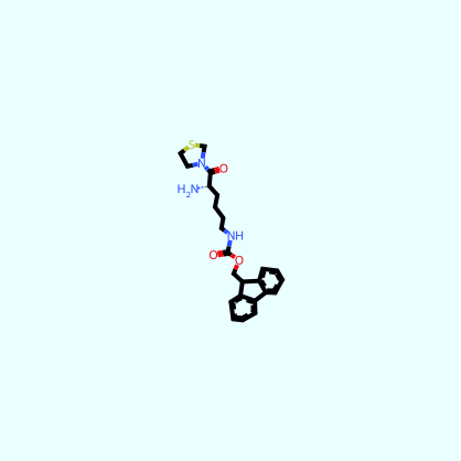 N[C@@H](CCCCNC(=O)OCC1c2ccccc2-c2ccccc21)C(=O)N1CCSC1